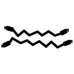 N#CCCCCCCCC#N.N#CCCCCCCCCC#N